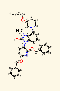 Cn1c(=O)n(-c2ccc(OCc3ccccc3)nc2OCc2ccccc2)c2cccc(N3CCC[C@H](OCC(=O)O)C3)c21